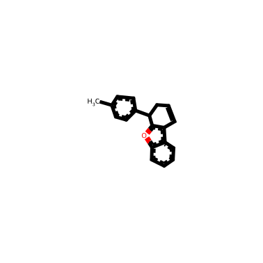 Cc1ccc(C2CC=Cc3c2oc2ccccc32)cc1